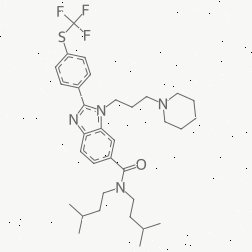 CC(C)CCN(CCC(C)C)C(=O)c1ccc2nc(-c3ccc(SC(F)(F)F)cc3)n(CCCN3CCCCC3)c2c1